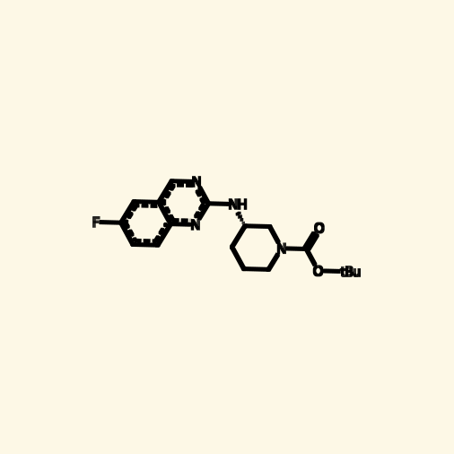 CC(C)(C)OC(=O)N1CCC[C@H](Nc2ncc3cc(F)ccc3n2)C1